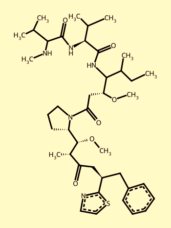 CCC(C)C(NC(=O)[C@@H](NC(=O)C(NC)C(C)C)C(C)C)[C@@H](CC(=O)N1CCC[C@H]1[C@H](OC)[C@@H](C)C(=O)C[C@@H](Cc1ccccc1)c1nccs1)OC